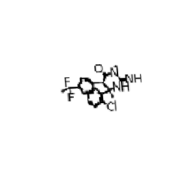 CN1C(=N)N[C@](C)(c2ccccc2Cl)[C@@H](c2ccc(C(C)(F)F)cc2)C1=O